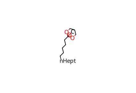 CCCCCCCCCCCCC12OCC(CO1)CO2